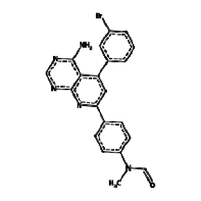 CN(C=O)c1ccc(-c2cc(-c3cccc(Br)c3)c3c(N)ncnc3n2)cc1